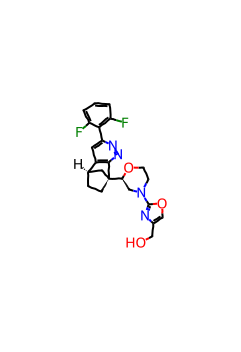 OCc1coc(N2CCO[C@H]([C@]34CC[C@H](C3)c3cc(-c5c(F)cccc5F)nnc34)C2)n1